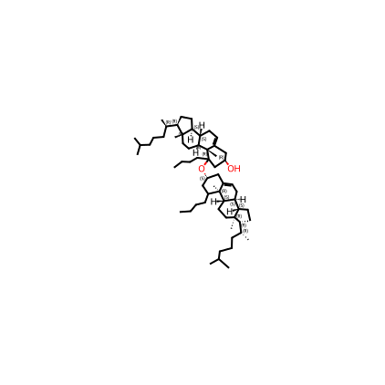 CCCCC1C[C@H](OC2(CCCC)C[C@H](O)CC3=CC[C@H]4[C@@H]5CC[C@H]([C@H](C)CCCC(C)C)[C@@]5(C)CC[C@@H]4[C@]32C)CC2=CC[C@H]3[C@@H]4CC[C@H]([C@H](C)CCCC(C)C)[C@@]4(C)CC[C@@H]3[C@]21C